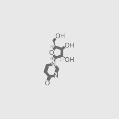 O=c1ccn([C@H]2O[C@@H](CO)C(O)[C@@H]2O)cn1